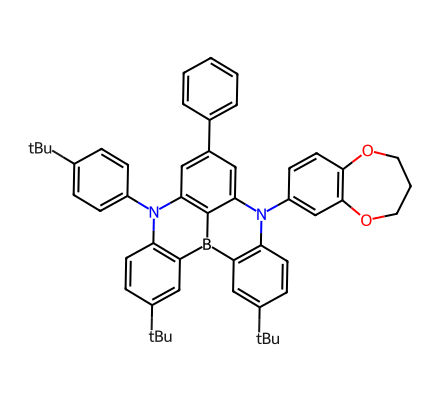 CC(C)(C)c1ccc(N2c3ccc(C(C)(C)C)cc3B3c4cc(C(C)(C)C)ccc4N(c4ccc5c(c4)OCCCO5)c4cc(-c5ccccc5)cc2c43)cc1